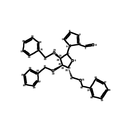 O=Cc1cccn1C1O[C@H](COCc2ccccc2)[C@@H](OCc2ccccc2)[C@H]1OCc1ccccc1